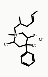 C/C=C/CC(C)C[N+]1(C)CC(CC)C(CC)(c2ccccc2)CC1CC.[Cl-]